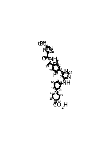 Cc1cc(-c2cc(Nc3cccc(N4CCN(C(=O)O)CC4)c3)ncn2)c(F)cc1C(C)NC(=O)c1nc(C(C)(C)C)no1